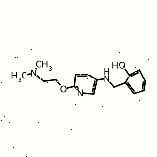 CN(C)CCOc1ccc(NCc2ccccc2O)cn1